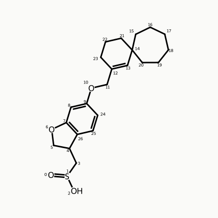 O=S(O)CC1COc2cc(OCC3=CC4(CCCCCC4)CCC3)ccc21